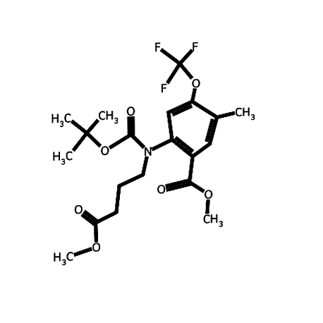 COC(=O)CCCN(C(=O)OC(C)(C)C)c1cc(OC(F)(F)F)c(C)cc1C(=O)OC